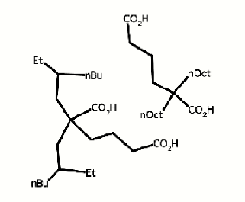 CCCCC(CC)CC(CCCC(=O)O)(CC(CC)CCCC)C(=O)O.CCCCCCCCC(CCCCCCCC)(CCCC(=O)O)C(=O)O